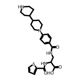 O=C(NCC(NC(=O)c1cccs1)C(=O)O)c1ccc(N2CCC(C3CCNCC3)CC2)cc1